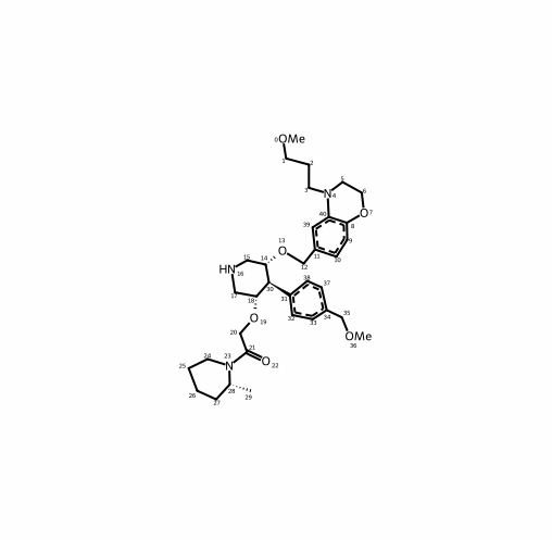 COCCCN1CCOc2ccc(CO[C@H]3CNC[C@@H](OCC(=O)N4CCCC[C@H]4C)[C@@H]3c3ccc(COC)cc3)cc21